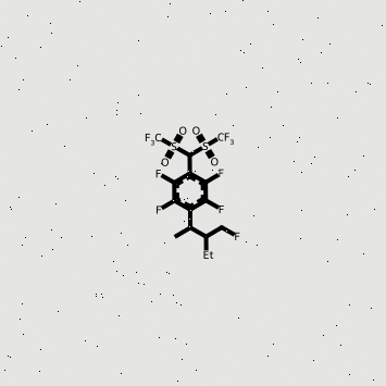 CCC(CF)C(C)c1c(F)c(F)c(C(S(=O)(=O)C(F)(F)F)S(=O)(=O)C(F)(F)F)c(F)c1F